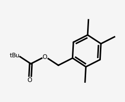 Cc1cc(C)c(COC(=O)C(C)(C)C)cc1C